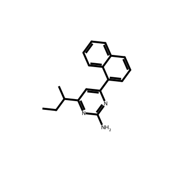 CCC(C)c1cc(-c2cccc3ccccc23)nc(N)n1